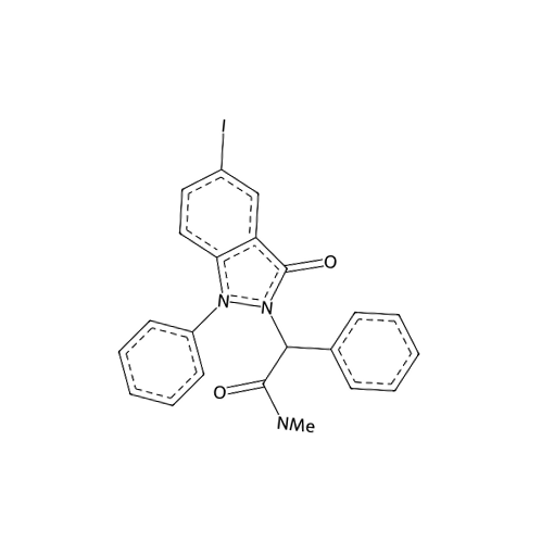 CNC(=O)C(c1ccccc1)n1c(=O)c2cc(I)ccc2n1-c1ccccc1